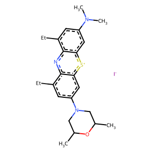 CCc1cc(N(C)C)cc2[s+]c3cc(N4CC(C)OC(C)C4)cc(CC)c3nc12.[I-]